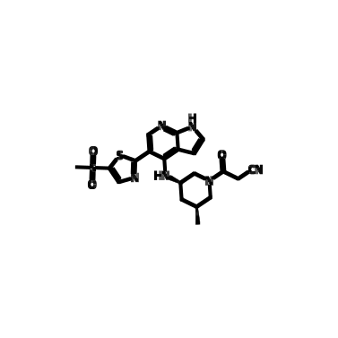 C[C@H]1C[C@@H](Nc2c(-c3ncc(S(C)(=O)=O)s3)cnc3[nH]ccc23)CN(C(=O)CC#N)C1